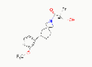 CC[C@H](CO)C(=O)N1CC2(CCC(c3cccc(OC(F)(F)F)c3)C2)C1